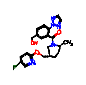 C[C@@H]1CCC(COc2ccc(F)cn2)CN1C(=O)c1cc(CO)ccc1-n1nccn1